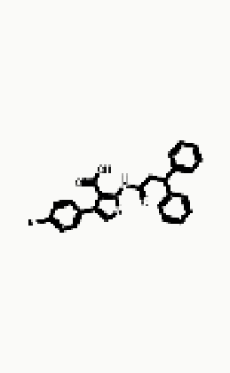 O=C(CC(c1ccccc1)c1ccccc1)Nc1scc(-c2ccc(Br)cc2)c1C(=O)O